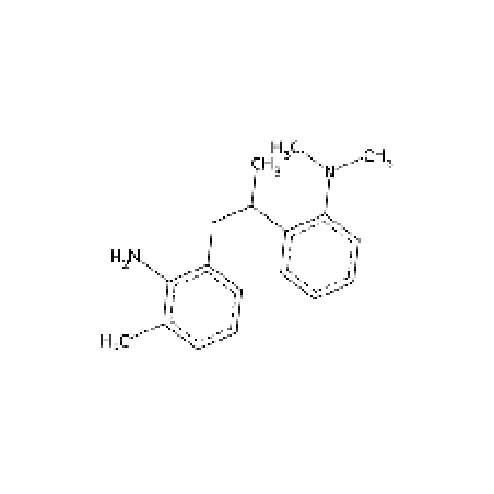 Cc1cccc(CC(C)c2ccccc2N(C)C)c1N